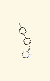 Clc1ccc(-c2ccc(C=C3CCCCN3)cc2)cc1